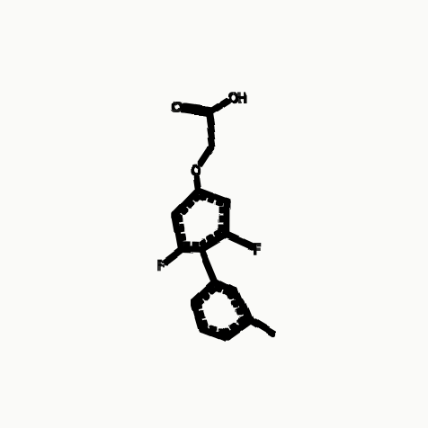 Cc1cccc(-c2c(F)cc(OCC(=O)O)cc2F)c1